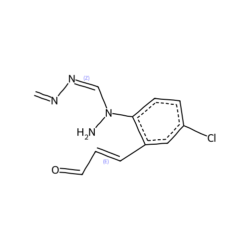 C=N/N=C\N(N)c1ccc(Cl)cc1/C=C/C=O